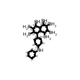 Bc1c(B)c(B)c2c(-c3ccc(Nc4ccccc4)cc3)c(B)c(B)c(B)c2c1B